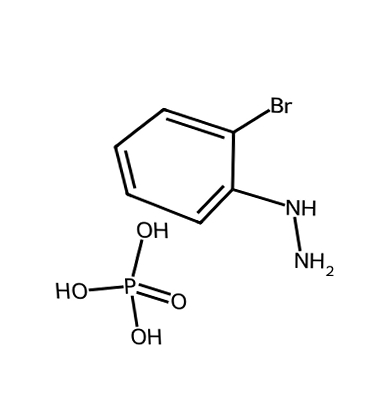 NNc1ccccc1Br.O=P(O)(O)O